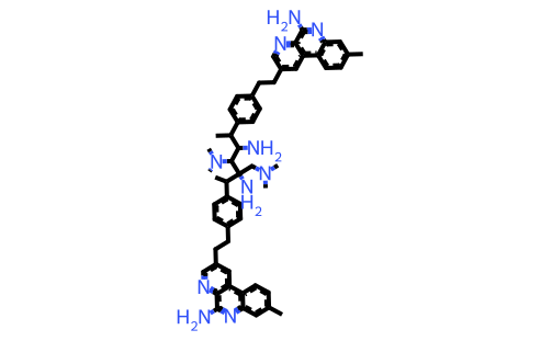 Cc1ccc2c(c1)nc(N)c1ncc(CCc3ccc(C(C)C(N)C(N(C)C)C(N)(CN(C)C)C(C)c4ccc(CCc5cnc6c(N)nc7cc(C)ccc7c6c5)cc4)cc3)cc12